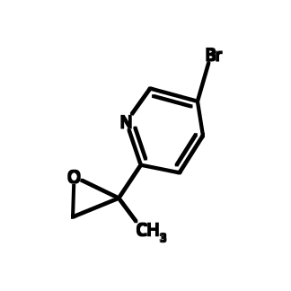 CC1(c2ccc(Br)cn2)CO1